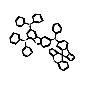 c1ccc(N(c2ccc3c(c2)C2(c4ccccc4Oc4ccccc42)c2ccccc2-3)c2ccc3sc4c(N(c5ccccc5)c5ccccc5)cc(N(c5ccccc5)c5ccccc5)cc4c3c2)cc1